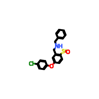 O=[S+]c1ccc(Oc2ccc(Cl)cc2)cc1CNCc1ccccc1